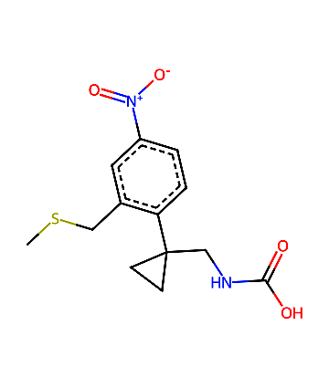 CSCc1cc([N+](=O)[O-])ccc1C1(CNC(=O)O)CC1